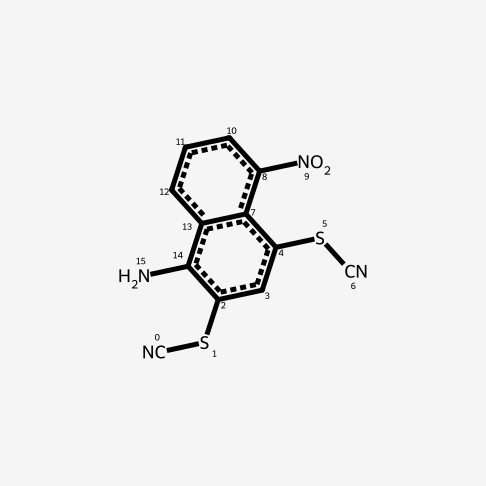 N#CSc1cc(SC#N)c2c([N+](=O)[O-])cccc2c1N